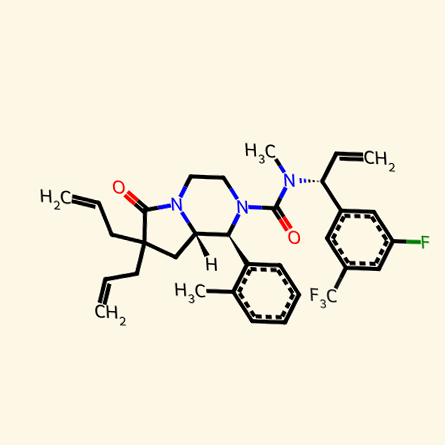 C=CCC1(CC=C)C[C@H]2[C@H](c3ccccc3C)N(C(=O)N(C)[C@H](C=C)c3cc(F)cc(C(F)(F)F)c3)CCN2C1=O